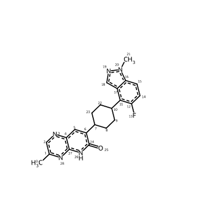 Cc1cnc2cc(C3CCC(c4c(F)ccc5c4cnn5C)CC3)c(=O)[nH]c2n1